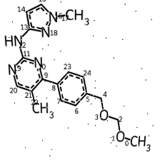 COCOCc1ccc(-c2nc(Nc3ccn(C)n3)ncc2C)cc1